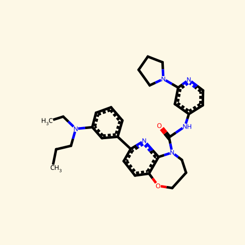 CCCN(CC)c1cccc(-c2ccc3c(n2)N(C(=O)Nc2ccnc(N4CCCC4)c2)CCCO3)c1